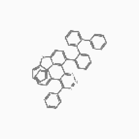 c1ccc(-c2ccccc2-c2ccccc2-c2ccc3oc4ccccc4c3c2-c2nnnc(-c3ccccc3)c2-c2ccccc2)cc1